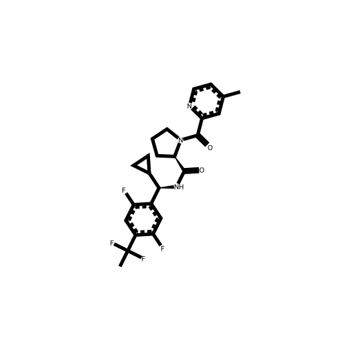 Cc1ccnc(C(=O)N2CCC[C@@H]2C(=O)N[C@@H](c2cc(F)c(C(C)(F)F)cc2F)C2CC2)c1